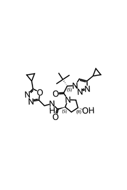 CC(C)(C)[C@@H](C(=O)N1C[C@H](O)C[C@H]1C(=O)NCc1nnc(C2CC2)o1)n1cc(C2CC2)nn1